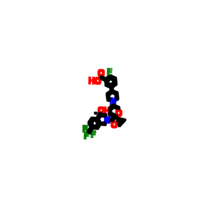 C[C@]1(O)CN(C(=O)[C@@]2(C3CC3)CC[C@@H](N3CCC(c4ccc(F)c(C(=O)O)c4)CC3)CO2)Cc2cc(C(F)(F)F)ccc21